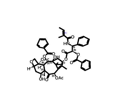 C/C=C(\C)C(=O)N[C@@H](c1ccccc1)[C@@H](OC(=O)c1ccccc1)C(=O)O[C@H]1C[C@@]2(O)[C@@H](OC(=O)c3ccccc3)[C@@H]3[C@]4(OC(C)=O)CO[C@@H]4C[C@H](O)[C@@]3(C)C(=O)[C@H](OC(C)=O)C(=C1C)C2(C)C